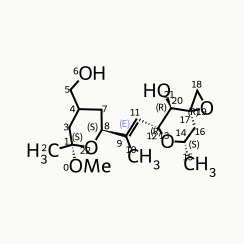 CO[C@]1(C)CC(CO)C[C@@H](/C(C)=C/[C@H]2O[C@@H](C)C[C@@]3(CO3)[C@@H]2O)O1